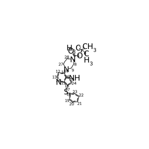 CC(C)(C)OC(=O)N1CCN(c2ccnc3c(Sc4ccccc4)c[nH]c23)CC1